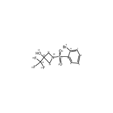 O=S(=O)(c1ccccc1Br)N1CC(O)(C(F)(F)F)C1